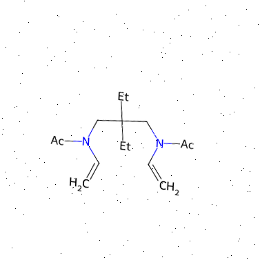 C=CN(CC(CC)(CC)CN(C=C)C(C)=O)C(C)=O